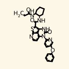 C=CC(=O)NC1CCCC[C@H]1NC(=O)c1sc2nccc3c2c1NC(=O)N3c1ccc(Oc2ccccc2)cn1